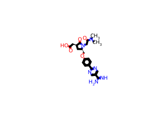 CN(C)C(=O)CN1C(=O)[C@H](CC(=O)O)C[C@H]1COc1ccc(-c2ncc(C(=N)N)cn2)cc1